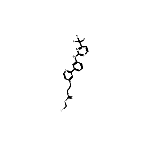 CCOC(=O)CCc1ccnc(-c2cccc(Nc3nccc(C(F)(F)F)n3)c2)c1